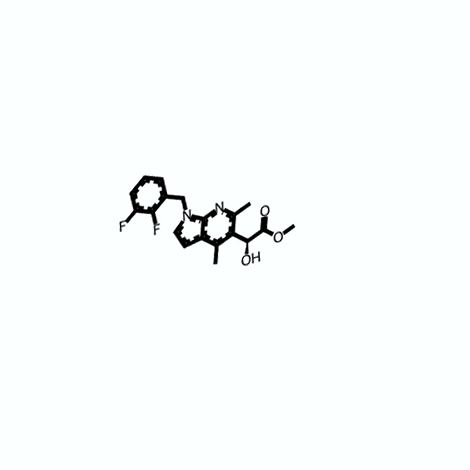 COC(=O)[C@@H](O)c1c(C)nc2c(ccn2Cc2cccc(F)c2F)c1C